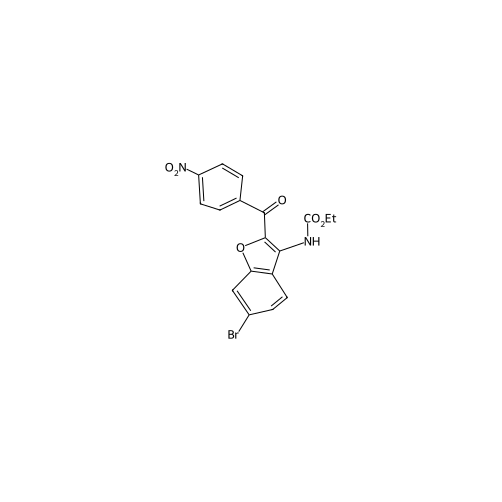 CCOC(=O)Nc1c(C(=O)c2ccc([N+](=O)[O-])cc2)oc2cc(Br)ccc12